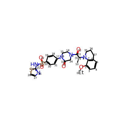 CCOc1cccc2c1N([C@@H](C)C(=O)N1CCN(c3ccc(S(=O)(=O)Nc4nccs4)cc3)C(=O)C1)CCC2